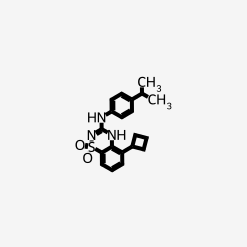 CC(C)c1ccc(NC2=NS(=O)(=O)c3cccc(C4CCC4)c3N2)cc1